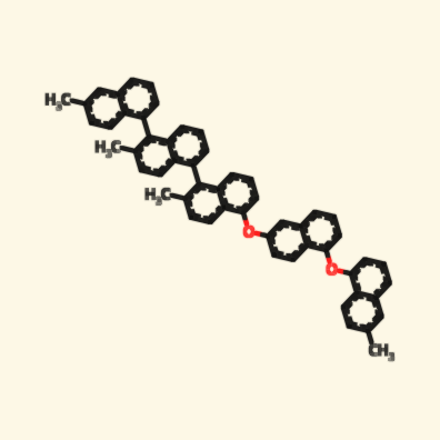 Cc1ccc2c(Oc3cccc4cc(Oc5cccc6c(-c7cccc8c(-c9cccc%10cc(C)ccc9%10)c(C)ccc78)c(C)ccc56)ccc34)cccc2c1